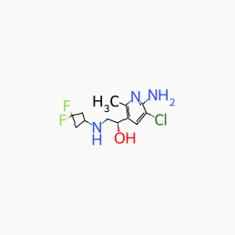 Cc1nc(N)c(Cl)cc1[C@@H](O)CNC1CC(F)(F)C1